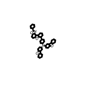 c1ccc(-c2nc3c(ccc4oc5c(-c6ccc(N(c7ccc8oc9ccccc9c8c7)c7ccc8oc9ccccc9c8c7)cc6)cccc5c43)o2)cc1